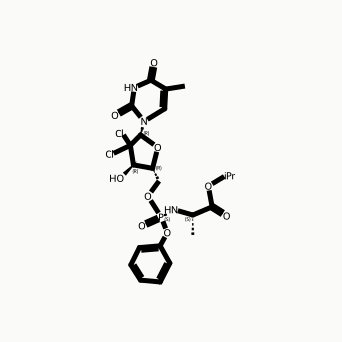 Cc1cn([C@@H]2O[C@H](CO[P@@](=O)(N[C@@H](C)C(=O)OC(C)C)Oc3ccccc3)[C@@H](O)C2(Cl)Cl)c(=O)[nH]c1=O